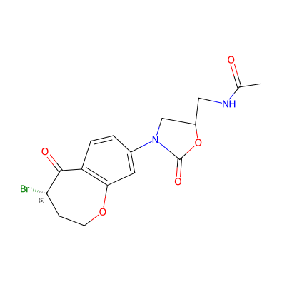 CC(=O)NCC1CN(c2ccc3c(c2)OCC[C@H](Br)C3=O)C(=O)O1